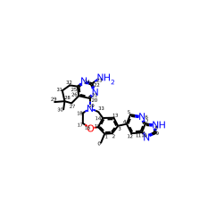 Cc1cc(-c2cnc3[nH]cnc3c2)cc2c1OCCN(c1nc(N)nc3c1CC(C)(C)CC3)C2